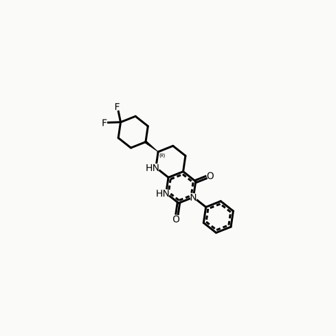 O=c1[nH]c2c(c(=O)n1-c1ccccc1)CC[C@H](C1CCC(F)(F)CC1)N2